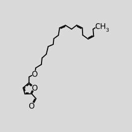 CC/C=C\C/C=C\C/C=C\CCCCCCCCOCc1ccc(C=O)o1